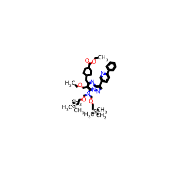 CCOCc1c(CC2CCC(C(=O)OCC)CC2)nc2c(-c3ccc(-c4ccccc4)nc3)cnn2c1N(COCC[Si](C)(C)C)COCC[Si](C)(C)C